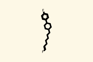 FC=CCCCCCC1CCC(c2ccc(F)cc2)CC1